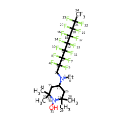 CCN(CC(F)(F)C(F)(F)C(F)(F)C(F)(F)C(F)(F)C(F)(F)C(F)(F)C(F)(F)F)C1CC(C)(C)N(O)C(C)(C)C1